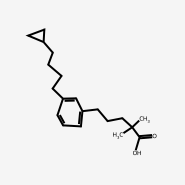 CC(C)(CCCc1cccc(CCCCC2CC2)c1)C(=O)O